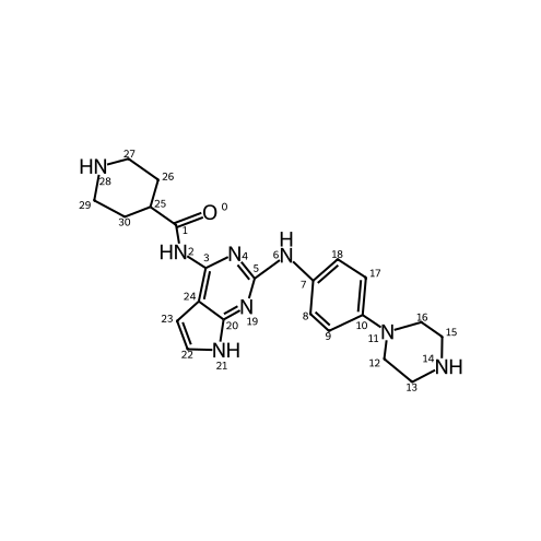 O=C(Nc1nc(Nc2ccc(N3CCNCC3)cc2)nc2[nH]ccc12)C1CCNCC1